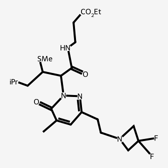 CCOC(=O)CCNC(=O)C(C(CC(C)C)SC)n1nc(CCN2CC(F)(F)C2)cc(C)c1=O